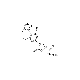 CNC(=O)[C@H]1CN(c2cc(F)c3c(c2)CCCc2cnoc2-3)C(=O)O1